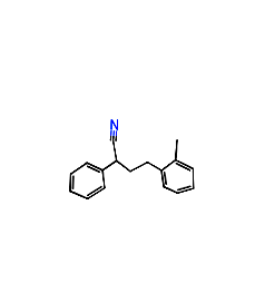 Cc1ccccc1CCC(C#N)c1ccccc1